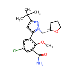 COc1c(C(N)=O)cc(Cl)cc1-c1cc(C(C)(C)C)nn1C[C@@H]1CCCO1